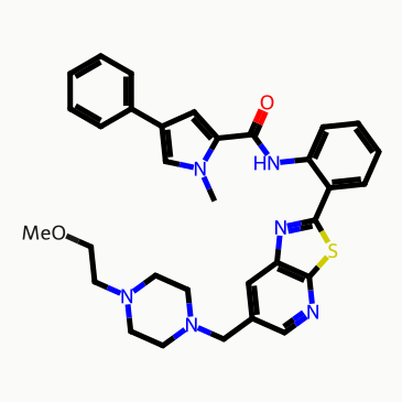 COCCN1CCN(Cc2cnc3sc(-c4ccccc4NC(=O)c4cc(-c5ccccc5)cn4C)nc3c2)CC1